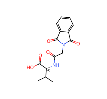 CC(C)[C@@H](NC(=O)CN1C(=O)c2ccccc2C1=O)C(=O)O